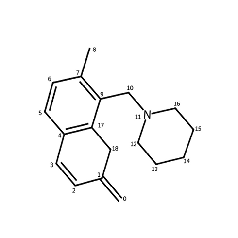 C=C1C=Cc2ccc(C)c(CN3CCCCC3)c2C1